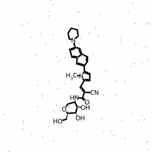 Cn1c(/C=C(\C#N)C(=O)N[C@H]2CO[C@H](CO)[C@@H](O)[C@@H]2O)ccc1-c1ccc2cc(N3CCCCC3)ccc2c1